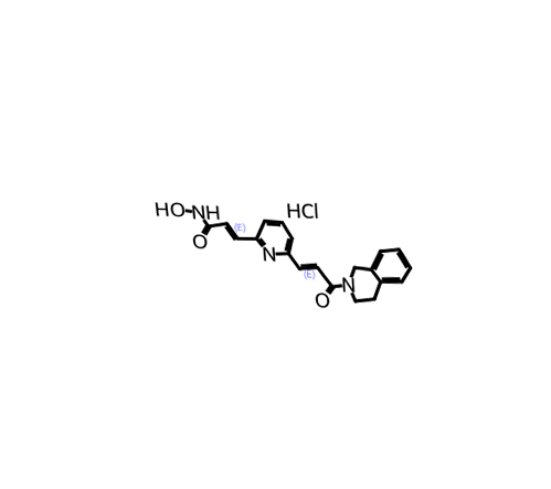 Cl.O=C(/C=C/c1cccc(/C=C/C(=O)N2CCc3ccccc3C2)n1)NO